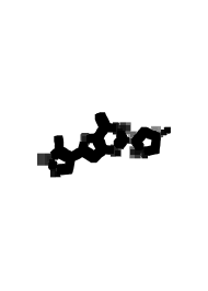 C=C1NC([C@@H]2C[C@H](C)CN2)=Nc2cc(-c3cn[nH]c3C)sc21